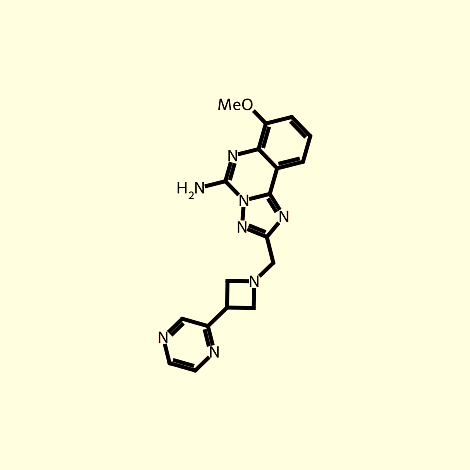 COc1cccc2c1nc(N)n1nc(CN3CC(c4cnccn4)C3)nc21